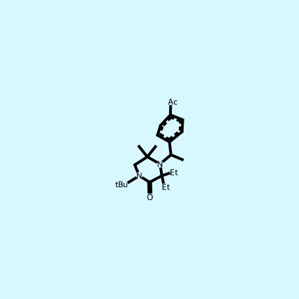 CCC1(CC)C(=O)N(C(C)(C)C)CC(C)(C)N1C(C)c1ccc(C(C)=O)cc1